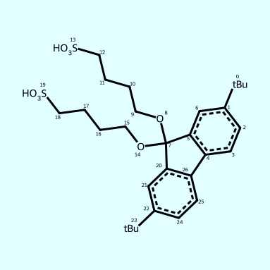 CC(C)(C)c1ccc2c(c1)C(OCCCCS(=O)(=O)O)(OCCCCS(=O)(=O)O)c1cc(C(C)(C)C)ccc1-2